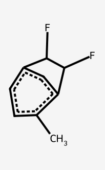 Cc1ccc2cc1C(F)C2F